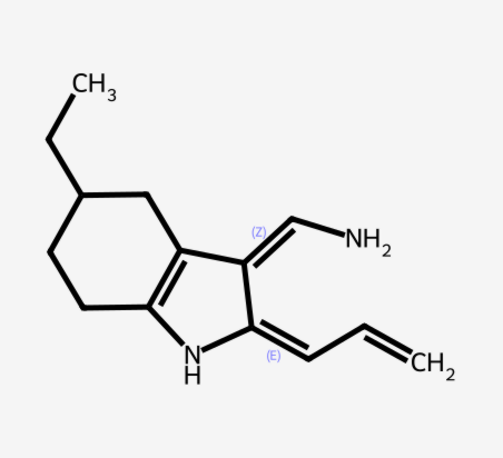 C=C/C=c1/[nH]c2c(/c1=C/N)CC(CC)CC2